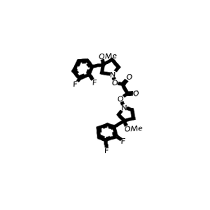 COC1(c2cccc(F)c2F)CCN(OC(=O)C(=O)ON2CCC(OC)(c3cccc(F)c3F)C2)C1